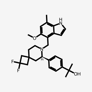 COc1cc(C)c2[nH]ccc2c1CN1CCC2(C[C@@H]1c1ccc(C(C)(C)O)cc1)CC(F)(F)C2